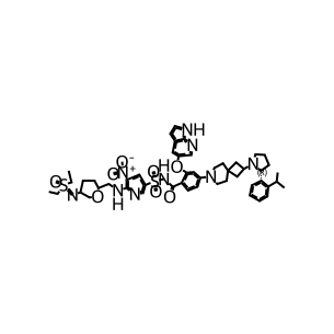 CCS(=O)(CC)=NC1CCC(CNc2ncc(S(=O)(=O)NC(=O)c3ccc(N4CCC5(CC4)CC(N4CCC[C@@H]4c4ccccc4C(C)C)C5)cc3Oc3cnc4[nH]ccc4c3)cc2[N+](=O)[O-])OC1